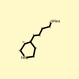 CCCCCCCCCCC1CCNCC1